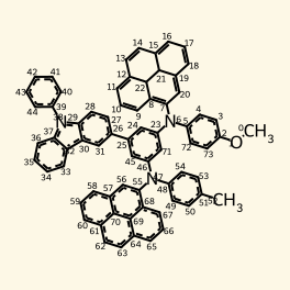 COc1ccc(N(C2=C3C=CC=C4C=CC5=CC=CC(=C2)C5C43)c2cc(-c3ccc4c(c3)c3ccccc3n4-c3ccccc3)cc(N(c3ccc(C)cc3)c3cc4cccc5ccc6cccc3c6c54)c2)cc1